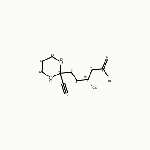 C#CC1(CC[C@@H](C)CC(=C)I)OCCCO1